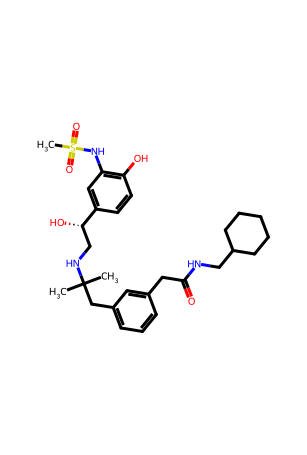 CC(C)(Cc1cccc(CC(=O)NCC2CCCCC2)c1)NC[C@H](O)c1ccc(O)c(NS(C)(=O)=O)c1